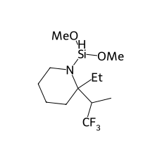 CCC1(C(C)C(F)(F)F)CCCCN1[SiH](OC)OC